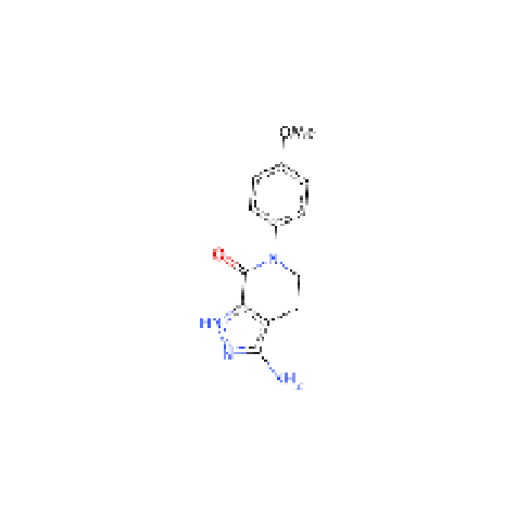 COc1ccc(N2CCc3c(N)n[nH]c3C2=O)cc1